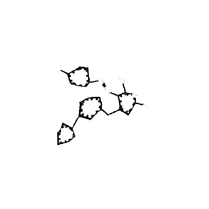 Nc1cc(Cc2cccc(-c3ccccc3)c2)c(N=Nc2ccc(Cl)cc2)c(N)n1